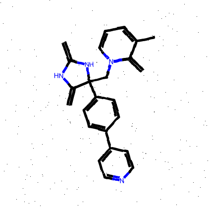 C=C1NC(=C)C(CN2C=CC=C(C)C2=C)(c2ccc(-c3ccncc3)cc2)N1